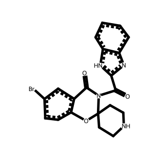 O=C(c1nc2ccccc2[nH]1)N1C(=O)c2cc(Br)ccc2OC12CCNCC2